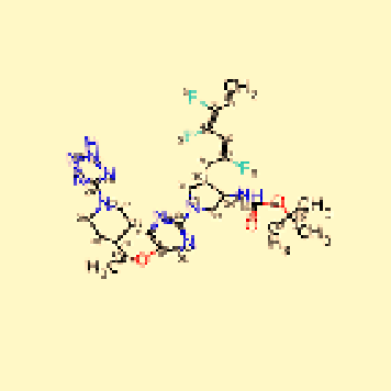 C=C/C(F)=C(F)\C=C(\F)C[C@H]1CN(c2ncc(O[C@@H](C)C3CCN(c4nn[nH]n4)CC3)cn2)C[C@@H]1NC(=O)OC(C)(C)C